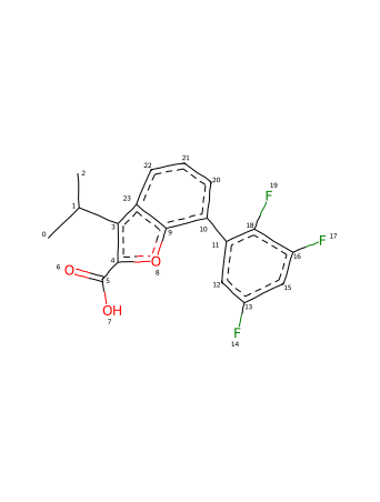 CC(C)c1c(C(=O)O)oc2c(-c3cc(F)cc(F)c3F)cccc12